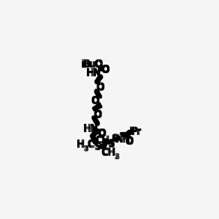 CC(C)COC(=O)NCCOCCOCCOCCNC(=O)CC(C)(C)SC(C)CSSNCC(=O)C(C)C